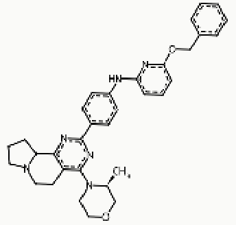 C[C@H]1COCCN1c1nc(-c2ccc(Nc3cccc(OCc4ccccc4)n3)cc2)nc2c1CCN1CCCC21